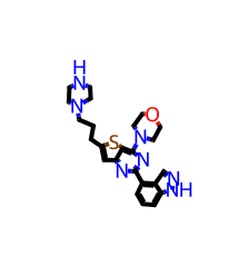 c1cc(-c2nc(N3CCOCC3)c3sc(CCCN4CCNCC4)cc3n2)c2cn[nH]c2c1